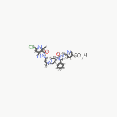 Cc1cc(Cl)nc(C)c1C(=O)NCCC(C)N1CCC(N2C(=O)N(Cc3ccc(C(=O)O)cn3)CC2c2ccccc2)CC1